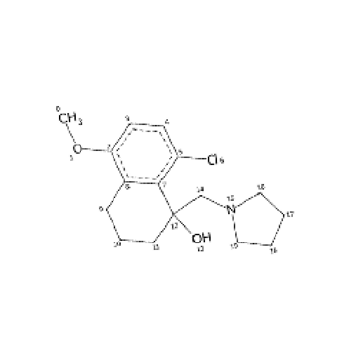 COc1ccc(Cl)c2c1CCCC2(O)CN1CCCC1